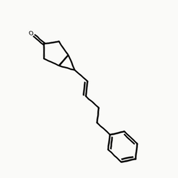 O=C1CC2C(/C=C/CCc3ccccc3)C2C1